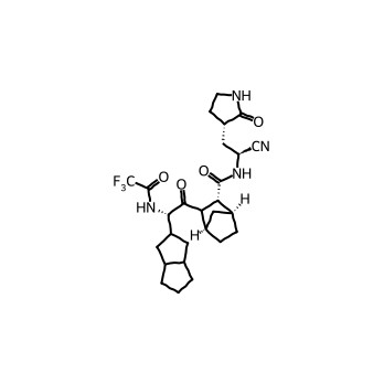 N#C[C@H](C[C@@H]1CCNC1=O)NC(=O)[C@H]1C(C(=O)[C@@H](NC(=O)C(F)(F)F)C2CC3CCCC3C2)[C@@H]2CC[C@H]1C2